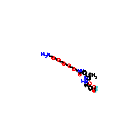 Cc1ccc(NC(=O)C2(c3ccc4c(c3)OC(F)(F)O4)CC2)nc1-c1cccc(C(=O)NCCOCCOCCOCCOCCOCCN)c1